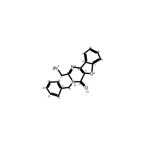 CC(C)Cc1nc2c(oc3ccccc32)c(=O)n1Cc1ccccc1